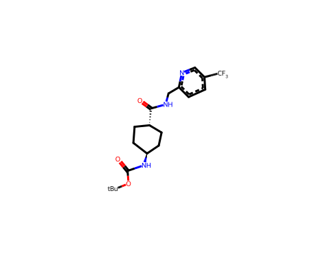 CC(C)(C)OC(=O)N[C@H]1CC[C@H](C(=O)NCc2ccc(C(F)(F)F)cn2)CC1